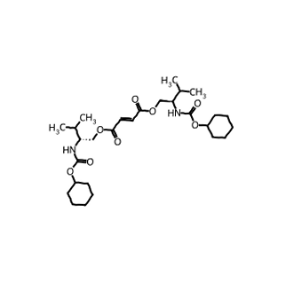 CC(C)[C@H](COC(=O)/C=C/C(=O)OC[C@H](NC(=O)OC1CCCCC1)C(C)C)NC(=O)OC1CCCCC1